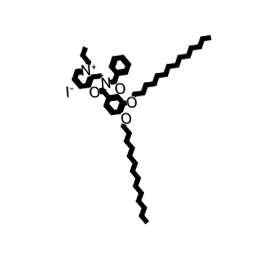 CCCCCCCCCCCCCCOc1ccc(C(=O)N(Cc2cccc[n+]2CCC)C(=O)c2ccccc2)cc1OCCCCCCCCCCCCCC.[I-]